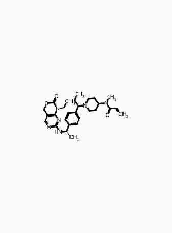 C=CC(=O)N(C)C1CCN(C(CC)c2ccc([C@H](C)Nc3ncc4c(n3)N(CC)C(=O)OC4)cc2)CC1